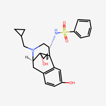 O=S(=O)(N[C@@H]1C[C@]23CCN(CC4CC4)[C@H](Cc4ccc(O)cc42)[C@]3(O)C1)c1ccccc1